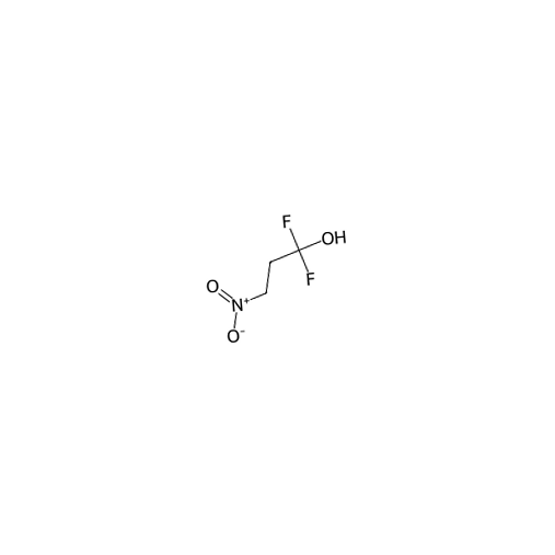 O=[N+]([O-])CCC(O)(F)F